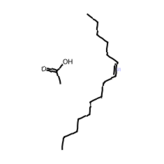 CC(=O)O.CCCCC/C=C\CCCCCCCC